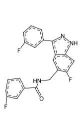 O=C(NCc1cc2c(-c3cccc(F)c3)n[nH]c2cc1F)c1cccc(F)c1